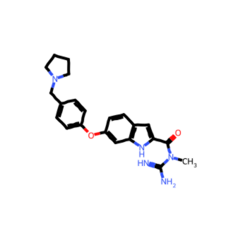 CN(C(=N)N)C(=O)c1cc2ccc(Oc3ccc(CN4CCCC4)cc3)cc2[nH]1